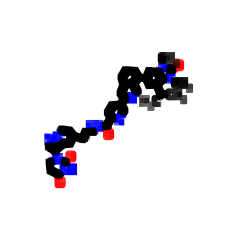 CC(C)c1cc(-c2cccc3cc(-c4ccc(C(=O)NC/C=C/c5ccn6ncc(N7CCC(=O)NC7=O)c6c5)nc4)ncc23)cc2c1n(C)c(=O)n2C